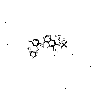 CC[S@](=O)(=Nc1cc2ncnc(Nc3ccc(F)cc3O[C@H]3COC[C@@H]3O)c2c(I)c1C)C(I)(I)I